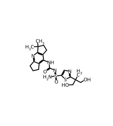 CC1(C)CCc2c1nc1c(c2NC(=O)N=S(N)(=O)c2cnc(C(C)(CO)CO)s2)CCC1